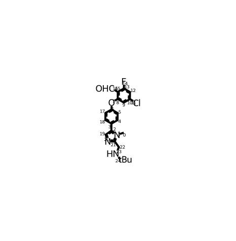 Cn1c(-c2ccc(Oc3cc(Cl)cc(F)c3C=O)cc2)cnc1CNC(C)(C)C